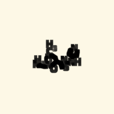 CC(C)CC(C(=O)NCC#N)c1csc(Nc2ccncc2)n1